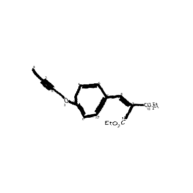 CC#COc1ccc(C=C(C(=O)OCC)C(=O)OCC)cc1